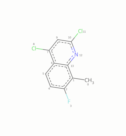 Cc1c(F)ccc2c(Cl)cc(Cl)nc12